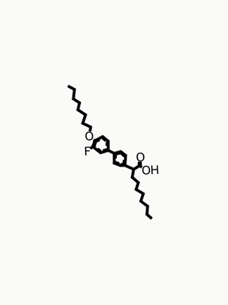 CCCCCCCCOc1ccc(-c2ccc(C(CCCCCCCC)C(=O)O)cc2)cc1F